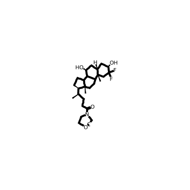 C[C@H](CCC(=O)N1CCOCC1)[C@H]1CCC2C3C(CC[C@@]21C)[C@@]1(C)CC(F)(F)[C@H](O)C[C@H]1C[C@@H]3O